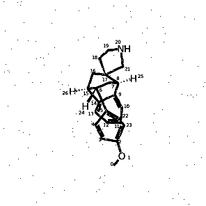 COc1ccc([C@H]2C[C@@H]3c4ccccc4[C@H]2C[C@@]32CCNC2)cc1